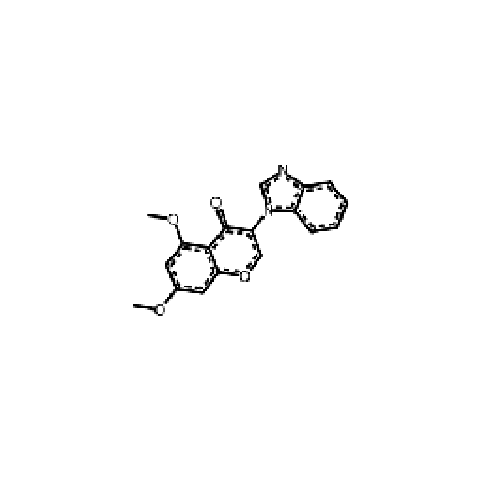 COc1cc(OC)c2c(=O)c(-n3cnc4ccccc43)coc2c1